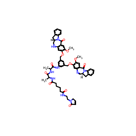 COc1cc2c(cc1OCc1cc(COc3cc4c(cc3OC)C(=O)N3c5ccccc5C[C@H]3CN4)cc(NC(=O)C(C)NC(=O)C(C)NC(=O)CCCCC(=O)NCCN3CC=CC3=O)c1)N=C[C@@H]1Cc3ccccc3N1C2=O